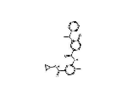 Cc1ccc(C(=O)NC2CC2)cc1NC(=O)c1ccc(=O)n(C(C)c2ccccc2)c1